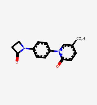 O=C(O)c1ccc(=O)n(-c2ccc(N3CCC3=O)cc2)c1